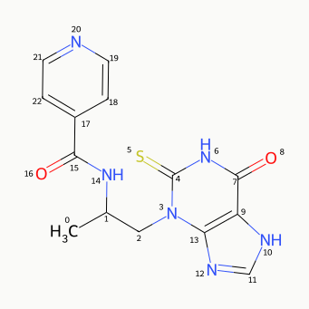 CC(Cn1c(=S)[nH]c(=O)c2[nH]cnc21)NC(=O)c1ccncc1